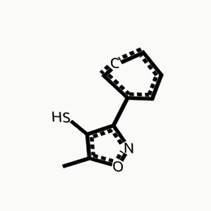 Cc1onc(-c2ccccc2)c1S